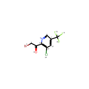 O=C(CBr)c1ncc(C(F)(F)F)cc1Cl